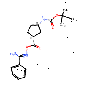 CC(C)(C)OC(=O)N[C@H]1CC[C@@H](C(=O)O/N=C(\N)c2ccccc2)C1